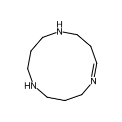 C1=NCCCNCCCNCC1